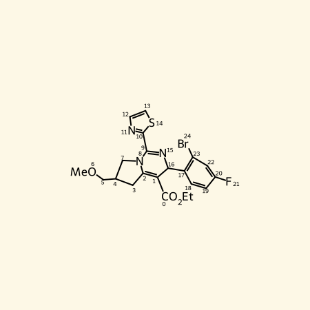 CCOC(=O)C1=C2CC(COC)CN2C(c2nccs2)=NC1c1ccc(F)cc1Br